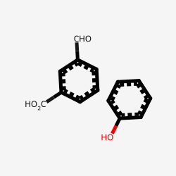 O=Cc1cccc(C(=O)O)c1.Oc1ccccc1